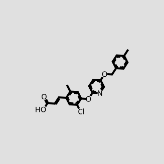 Cc1ccc(COc2ccc(Oc3cc(C)c(C=CC(=O)O)cc3Cl)nc2)cc1